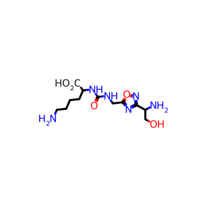 NCCCCC(NC(=O)NCc1nc(C(N)CO)no1)C(=O)O